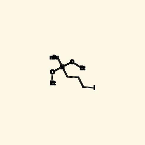 CCCC[Si](CCCI)(OCC)OCC